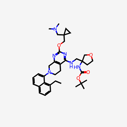 CCc1cccc2cccc(N3CCc4c(nc(OCC5(CN(C)C)CC5)nc4NCC4(NC(=O)OC(C)(C)C)CCOC4)C3)c12